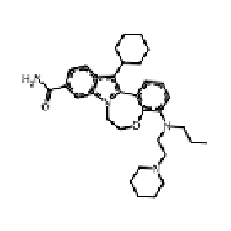 CCCN(CCN1CCCCC1)c1cccc2c1OCCn1c-2c(C2CCCCC2)c2ccc(C(N)=O)cc21